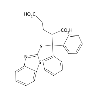 O=C(O)CCC(C(=O)O)C(Sc1nc2ccccc2s1)(c1ccccc1)c1ccccc1